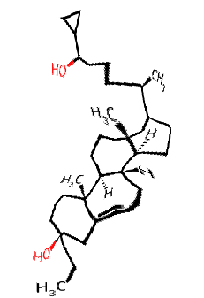 CC[C@]1(O)CC[C@@]2(C)C(=CC[C@H]3[C@@H]4CC[C@H]([C@H](C)CCC(O)C5CC5)[C@@]4(C)CC[C@@H]32)C1